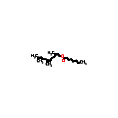 CCCCCCCC(=O)OCC=C(C)CCC=C(C)CCC=C(C)C